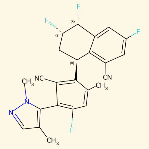 Cc1cc(F)c(-c2c(C)cnn2C)c(C#N)c1[C@H]1C[C@H](F)[C@H](F)c2cc(F)cc(C#N)c21